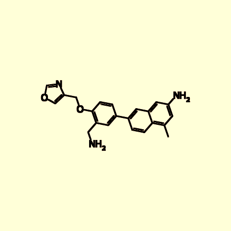 Cc1cc(N)cc2cc(-c3ccc(OCc4cocn4)c(CN)c3)ccc12